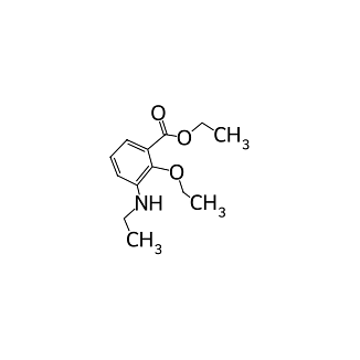 CCNc1cccc(C(=O)OCC)c1OCC